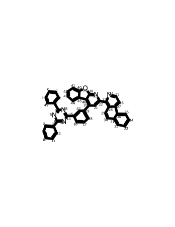 c1ccc(-c2nc(-c3ccccc3)nc(-c3cccc(-c4cc(-c5nccc6c5ccc5ccccc56)nc5oc6ccccc6c45)c3)n2)cc1